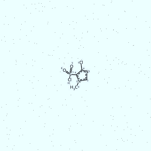 Cn1cnc(Cl)c1S(=O)(=O)Cl